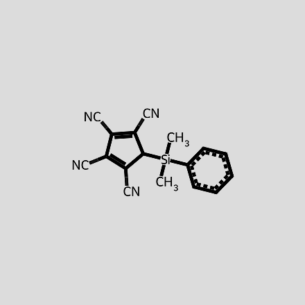 C[Si](C)(c1ccccc1)C1C(C#N)=C(C#N)C(C#N)=C1C#N